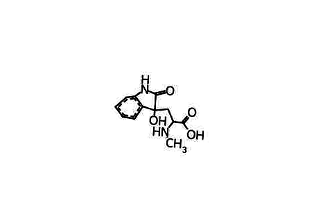 CNC(CC1(O)C(=O)Nc2ccccc21)C(=O)O